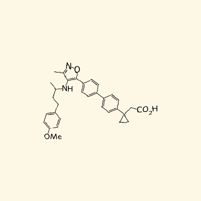 COc1ccc(CCC(C)Nc2c(C)noc2-c2ccc(-c3ccc(C4(CC(=O)O)CC4)cc3)cc2)cc1